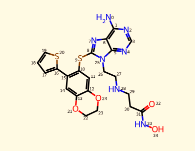 Nc1ncnc2c1nc(Sc1cc3c(cc1-c1cccs1)OCCO3)n2CCNCCC(=O)NO